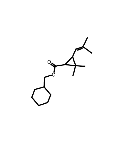 CC(C)=CC1C(C(=O)OCC2CCCCC2)C1(C)C